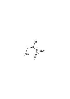 CCCCCC(CC)[SH](=O)=O